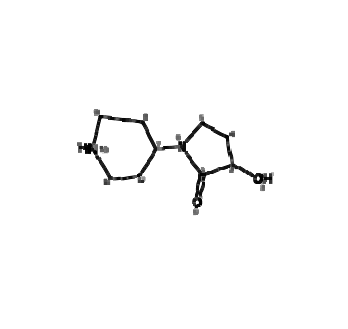 O=C1C(O)CCN1C1CCNCC1